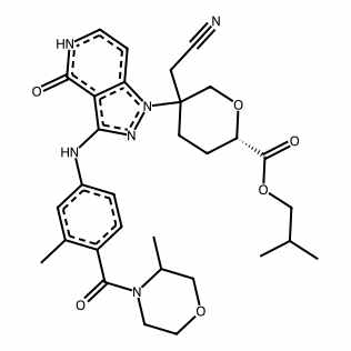 Cc1cc(Nc2nn(C3(CC#N)CC[C@@H](C(=O)OCC(C)C)OC3)c3cc[nH]c(=O)c23)ccc1C(=O)N1CCOCC1C